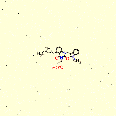 CC(C)CCCc1cccc2c1c(=O)n(CCC(=O)O)c(=O)n2Cc1cn(C)c2ccccc12